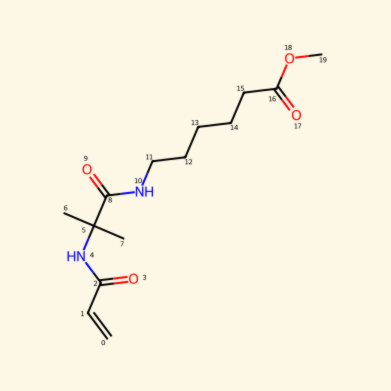 C=CC(=O)NC(C)(C)C(=O)NCCCCCC(=O)OC